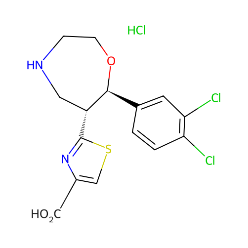 Cl.O=C(O)c1csc([C@@H]2CNCCO[C@H]2c2ccc(Cl)c(Cl)c2)n1